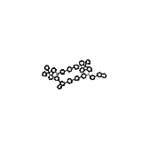 c1ccc(-c2ccc(-c3ccc(N(c4cccc(-c5cc(-c6ccc(-c7ccc(-c8ccc(N(c9cccc(-c%10ccc%11ccccc%11c%10)c9)c9cccc%10c9-c9ccccc9C%10(c9ccccc9)c9ccccc9)cc8)cc7)cc6)cc6ccccc56)c4)c4cccc5c4-c4ccccc4C5(c4ccccc4)c4ccccc4)cc3)cc2)cc1